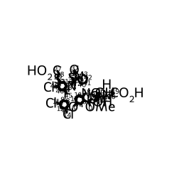 COC(=O)c1cc(Oc2ccc(Cl)cc2Cl)ccc1[N+](=O)[O-].O=C(O)CNCP(=O)(O)O.O=C(O)CSc1cc(N=c2sc(=O)n3n2CCCC3)c(F)cc1Cl